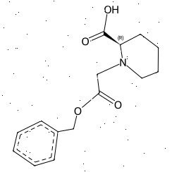 O=C(CN1CCCC[C@@H]1C(=O)O)OCc1ccccc1